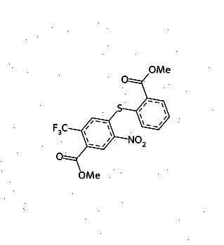 COC(=O)c1ccccc1Sc1cc(C(F)(F)F)c(C(=O)OC)cc1[N+](=O)[O-]